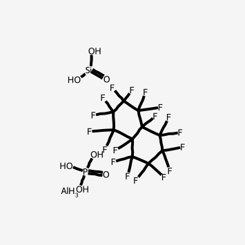 FC1(F)C(F)(F)C(F)(F)C2(F)C(F)(F)C(F)(F)C(F)(F)C(F)(F)C2(F)C1(F)F.O=P(O)(O)O.O=[Si](O)O.[AlH3]